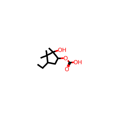 CCC1CC(OC(=O)O)C(C)(O)C1(C)C